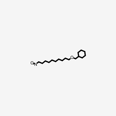 O=NCCCCCCCCCCOCC1CCCCC1